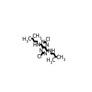 CC(C)CCNc1nc(Cl)nc2c(NCCC(C)C)nc(Cl)nc12